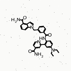 CCN(CC)c1ccc(NC(=O)c2cccc(Cn3ccc4c(C(N)=O)cccc43)c2)c(-c2cc(C(N)=O)ccn2)c1